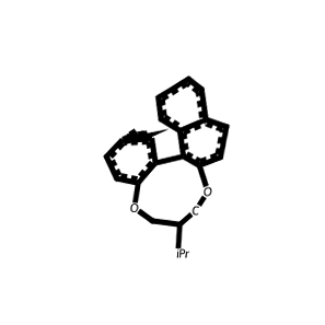 CC(C)C1COc2ccc3ccccc3c2-c2c(ccc3ccccc23)OC1